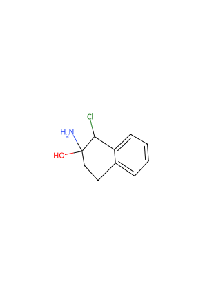 NC1(O)CCc2ccccc2C1Cl